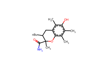 CCCCC1Cc2c(C)c(O)c(C)c(C)c2OC1(C)C(N)=O